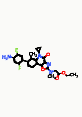 CCOC(=O)CN(C)c1nc2c(=O)n(C3CC3)c3c(C)c(-c4cc(F)c(N)cc4F)ccc3c2o1